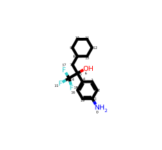 Nc1ccc(C(O)(CC2CCCCC2)C(F)(F)F)cc1